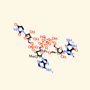 CCCOCC[C@H]1[C@@H](O)[C@H](n2c[n+](C)c3c(=O)[nH]c(N)nc32)O[C@@H]1COP(=O)(O)OP(=O)(O)OP(=O)(O)OC[C@H]1O[C@@H](n2cnc3c(N)ncnc32)[C@H](OC)[C@@H]1OP(=O)([O-])OC[C@H]1O[C@@H](n2ccc(=O)[nH]c2=O)[C@H](O)[C@@H]1O